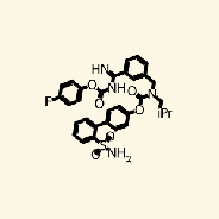 CC(C)CN(Cc1cccc(C(=N)NC(=O)Oc2ccc(F)cc2)c1)C(=O)Oc1ccc(-c2ccccc2S(N)(=O)=O)cc1